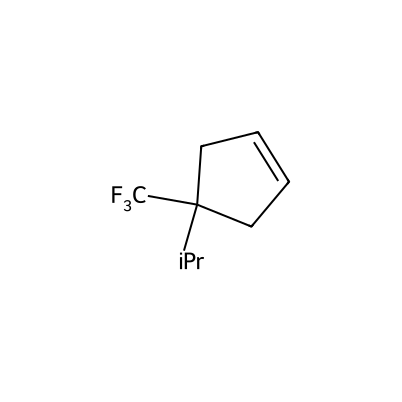 CC(C)C1(C(F)(F)F)CC=CC1